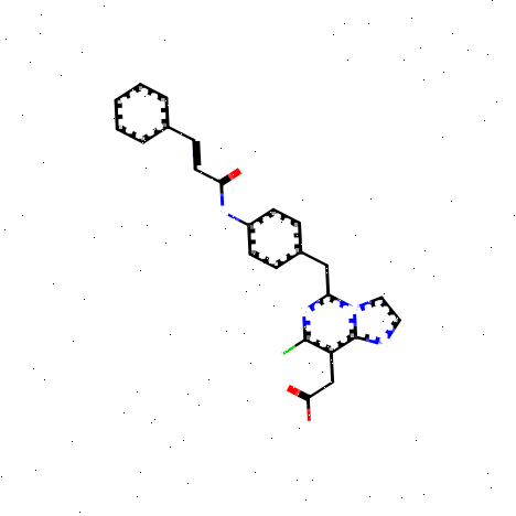 O=C(O)Cc1c(Cl)nc(Cc2ccc(NC(=O)/C=C/c3ccccc3)cc2)n2ccnc12